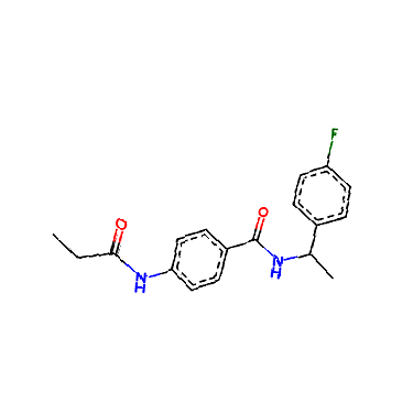 CCC(=O)Nc1ccc(C(=O)NC(C)c2ccc(F)cc2)cc1